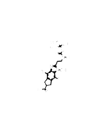 CN(CCc1nc2c(F)c3c(c(F)c2n1C)CC(C(=O)O)C3)C(=O)OC(C)(C)C